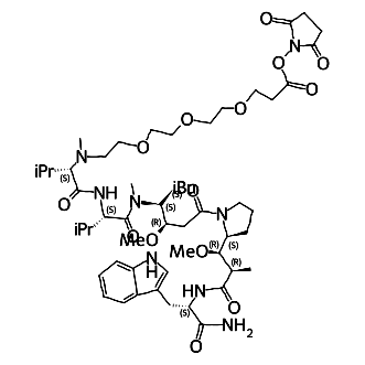 CC[C@H](C)[C@@H]([C@@H](CC(=O)N1CCC[C@H]1[C@H](OC)[C@@H](C)C(=O)N[C@@H](Cc1c[nH]c2ccccc12)C(N)=O)OC)N(C)C(=O)[C@@H](NC(=O)[C@H](C(C)C)N(C)CCOCCOCCOCCC(=O)ON1C(=O)CCC1=O)C(C)C